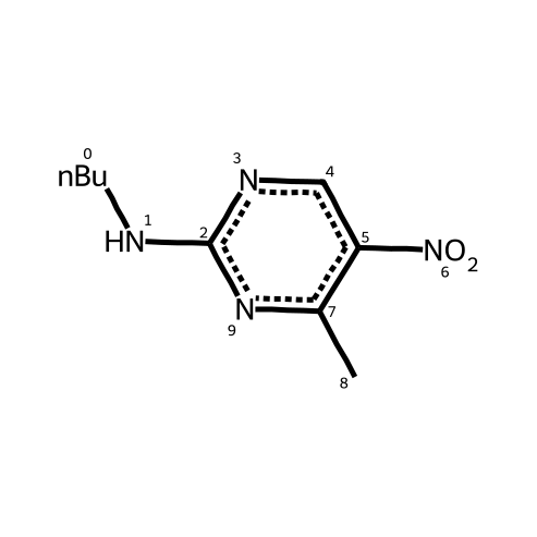 CCCCNc1ncc([N+](=O)[O-])c(C)n1